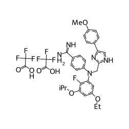 CCOc1cc(OC(C)C)c(F)c(N(Cc2nc(-c3ccc(OC)cc3)c[nH]2)c2ccc(C(=N)N)cc2)c1.O=C(O)C(F)(F)F.O=C(O)C(F)(F)F